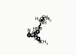 COc1ccc2nc(C(Cc3cccc(C#N)c3)NS(=O)(=O)c3cccc(NC(=O)CCCNC(=O)OC(C)(C)C)c3)sc2c1